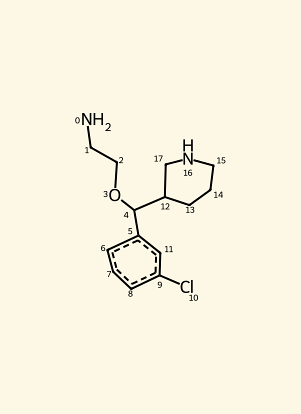 NCCOC(c1cccc(Cl)c1)C1CCCNC1